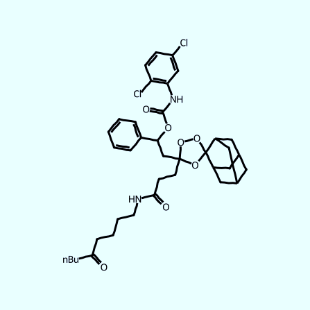 CCCCC(=O)CCCCNC(=O)CCC1(CC(OC(=O)Nc2cc(Cl)ccc2Cl)c2ccccc2)OOC2(O1)C1CC3CC(C1)CC2C3